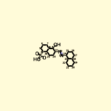 O=S(=O)(O)c1cccc2c(O)c(/N=N/c3cccc4ccccc34)ccc12